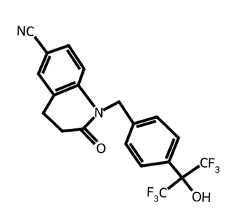 N#Cc1ccc2c(c1)CCC(=O)N2Cc1ccc(C(O)(C(F)(F)F)C(F)(F)F)cc1